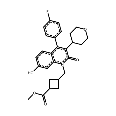 COC(=O)C1CC(Cn2c(=O)c(C3CCOCC3)c(-c3ccc(F)cc3)c3ccc(O)cc32)C1